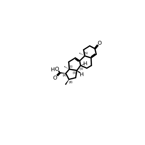 C[C@@H]1C[C@H]2[C@@H]3CCC4=CC(=O)CC[C@]4(C)C3=CC[C@]2(C)[C@@H]1C(=O)O